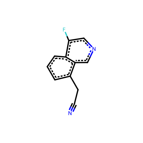 N#CCc1cccc2c(F)cncc12